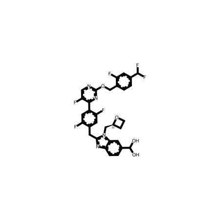 OC(O)c1ccc2nc(Cc3cc(F)c(-c4nc(OCc5ccc(C(F)F)cc5F)ncc4F)cc3F)n(C[C@@H]3CCO3)c2c1